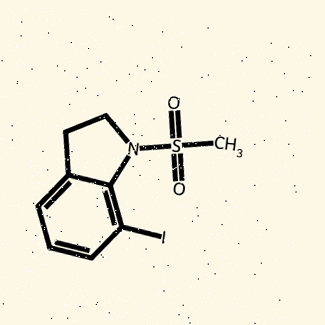 CS(=O)(=O)N1CCc2cccc(I)c21